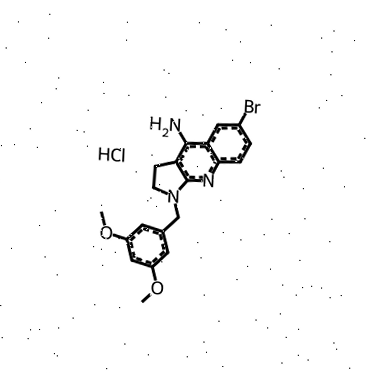 COc1cc(CN2CCc3c2nc2ccc(Br)cc2c3N)cc(OC)c1.Cl